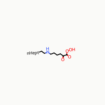 CCCCCCCCCNCCCCC(=O)C(=O)OO